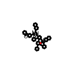 c1ccc(-c2ccc(-c3c(-n4c5cc6ccccc6cc5c5c6ccccc6ccc54)ccc(-c4nc(-c5ccc6ccccc6c5)nc(-c5ccc6oc7ccccc7c6c5)n4)c3-c3ccccc3)cc2)cc1